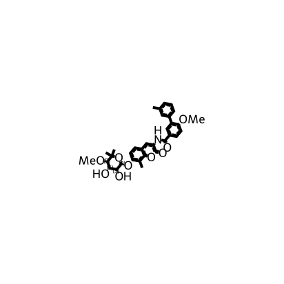 COc1ccc(C(=O)Nc2cc3ccc(O[C@@H]4OC(C)(C)[C@H](OC)[C@@H](O)[C@@H]4O)c(C)c3oc2=O)cc1-c1cccc(C)c1